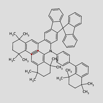 CC1(C)CCC(C)(C)c2cc(-c3cc4c(cc3N(c3ccc(-c5cccc6c5C(C)(C)CCC6(C)C)cc3)c3cccc5c3C(C)(C)CCC5(C)C)C3(c5ccccc5-c5ccccc53)c3ccccc3-4)ccc21